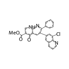 COC(=O)c1c[nH]c2nc(-c3ccccc3)c(-c3cc(Cl)c4ncccc4c3)cc2c1=O